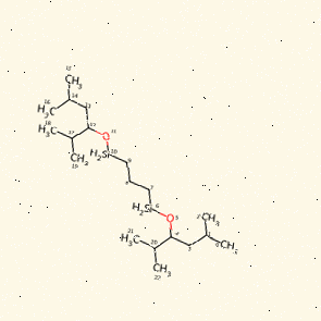 CC(C)CC(O[SiH2]CCC[SiH2]OC(CC(C)C)C(C)C)C(C)C